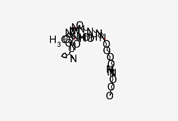 COc1cnc(-n2cnc(C(=O)NCCCN(CCCN3CCN(CCOCCOCCOCCOCc4cn(CCOCCOCCC=O)nn4)CC3)C(CO)CO)n2)c2[nH]cc(C(=O)C(=O)N3CCC(=C(C#N)c4ccccc4)CC3)c12